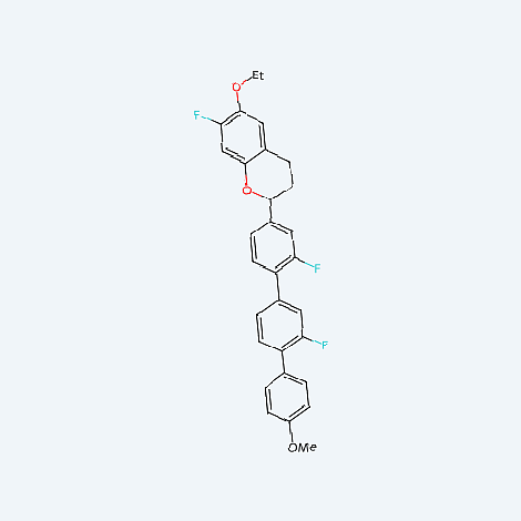 CCOc1cc2c(cc1F)OC(c1ccc(-c3ccc(-c4ccc(OC)cc4)c(F)c3)c(F)c1)CC2